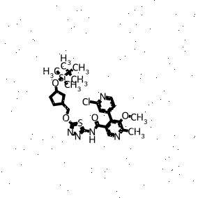 COc1c(C)ncc(C(=O)Nc2nnc(OCC3CCC(O[Si](C)(C)C(C)(C)C)C3)s2)c1-c1ccnc(Cl)c1